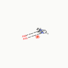 CC[N+](C)(CC)CCCCCCCCCCCCCCCCCCO.CC[N+](C)(CC)CCCCCCCCCCCCCCCCCCO.O=S(=O)([O-])[O-]